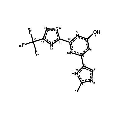 Cc1ncc(-c2cc(O)nc(-c3nc(C(F)(F)F)cs3)n2)[nH]1